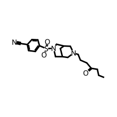 CCCC(=O)CCCN1CC2CC(C1)CN(S(=O)(=O)c1ccc(C#N)cc1)C2